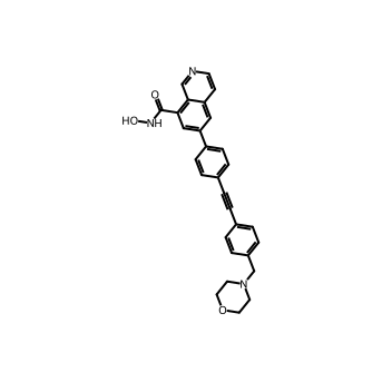 O=C(NO)c1cc(-c2ccc(C#Cc3ccc(CN4CCOCC4)cc3)cc2)cc2ccncc12